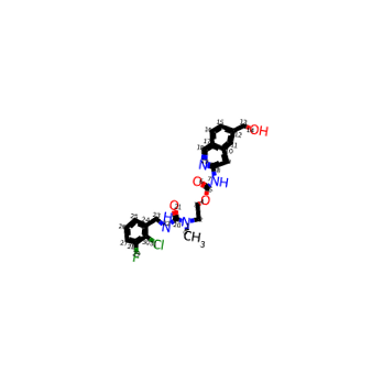 CN(CCOC(=O)Nc1cc2cc(CO)ccc2cn1)C(=O)NCc1cccc(F)c1Cl